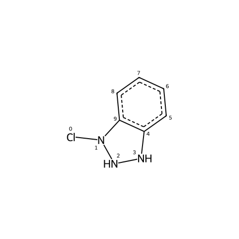 ClN1NNc2ccccc21